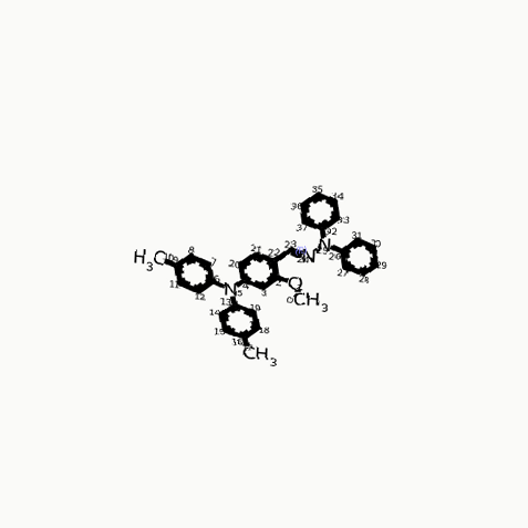 COc1cc(N(c2ccc(C)cc2)c2ccc(C)cc2)ccc1/C=N/N(c1ccccc1)c1ccccc1